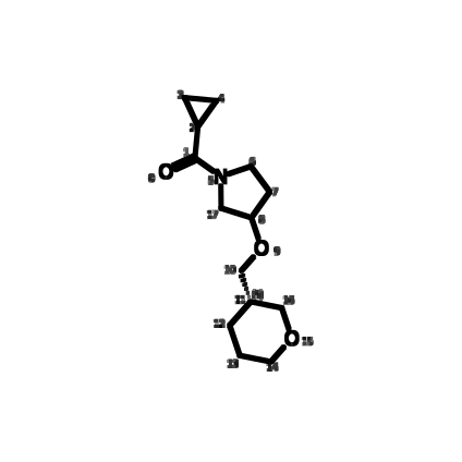 O=C(C1CC1)N1CCC(OC[C@H]2CCCOC2)C1